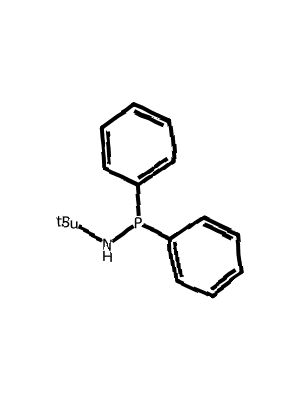 CC(C)(C)NP(c1ccccc1)c1ccccc1